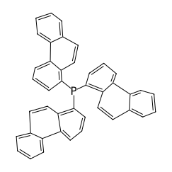 c1ccc2c(c1)ccc1c(P(c3cccc4c3ccc3ccccc34)c3cccc4c3ccc3ccccc34)cccc12